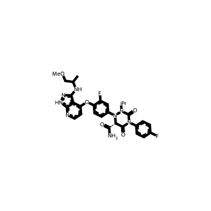 COCC(C)Nc1n[nH]c2nccc(Oc3ccc(N4[C@@H](C(N)=O)C(=O)N(c5ccc(F)cc5)C(=O)N4C(C)C)cc3F)c12